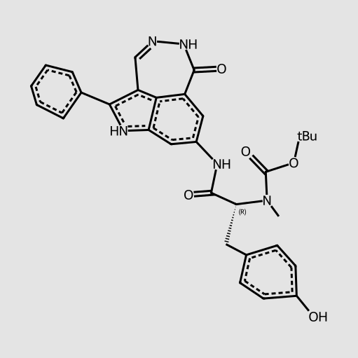 CN(C(=O)OC(C)(C)C)[C@H](Cc1ccc(O)cc1)C(=O)Nc1cc2c3c(c(-c4ccccc4)[nH]c3c1)C=NNC2=O